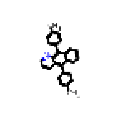 Cc1ccc(-c2c3ccccc3c(-c3ccc(C)cc3)c3ncccc23)cc1